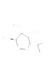 CC(=O)O[C@@H]1[C@H](OC(C)=O)[C@H](C(F)F)OS[C@H]1OC(C)=O